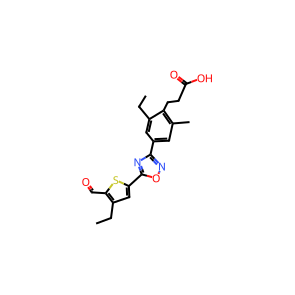 CCc1cc(-c2nc(-c3cc(C)c(CCC(=O)O)c(CC)c3)no2)sc1C=O